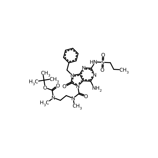 CCCS(=O)(=O)Nc1nc(N)c2c(n1)n(Cc1ccccc1)c(=O)n2C(=O)N(C)CCN(C)C(=O)OC(C)(C)C